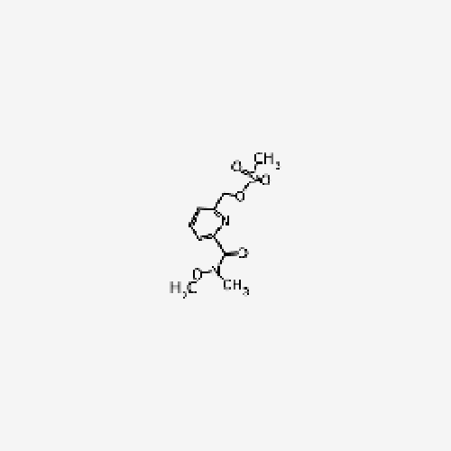 CON(C)C(=O)c1cccc(COS(C)(=O)=O)n1